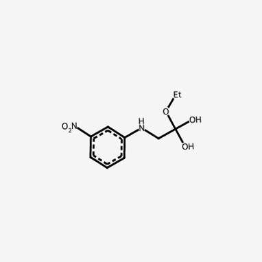 CCOC(O)(O)CNc1cccc([N+](=O)[O-])c1